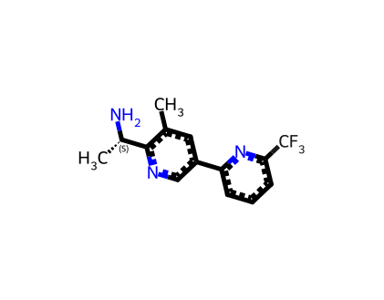 Cc1cc(-c2cccc(C(F)(F)F)n2)cnc1[C@H](C)N